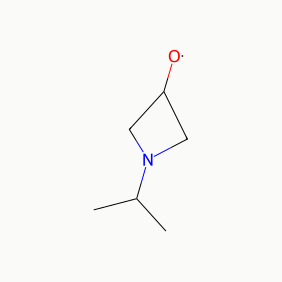 CC(C)N1CC([O])C1